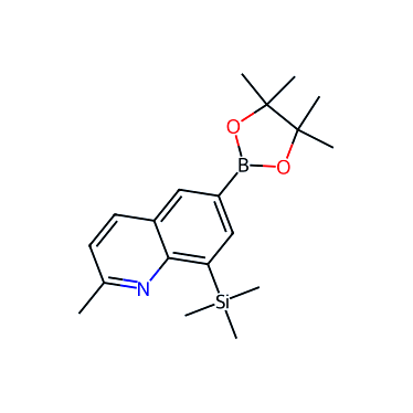 Cc1ccc2cc(B3OC(C)(C)C(C)(C)O3)cc([Si](C)(C)C)c2n1